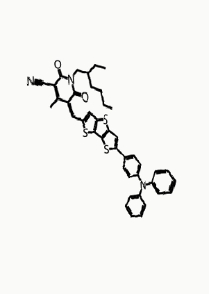 CCCCC(CC)CN1C(=O)C(=Cc2cc3sc4cc(-c5ccc(N(c6ccccc6)c6ccccc6)cc5)sc4c3s2)C(C)=C(C#N)C1=O